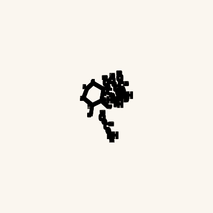 CC1CCCCC1C.N=C=O.N=C=O.N=C=O.N=C=O